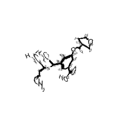 C=C/C=C(/C)SC(=C)c1cc(OC[C@H]2CCOC2)cc(C(=O)O)c1